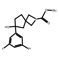 CC(C)c1cc(F)cc(C2(O)CCC3(CN(C(=O)OC(C)(C)C)C3)C2)c1